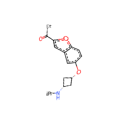 CCC(=O)c1cc2cc(O[C@H]3C[C@@H](NC(C)C)C3)ccc2o1